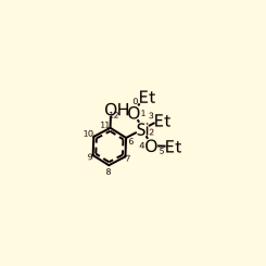 CCO[Si](CC)(OCC)c1ccccc1O